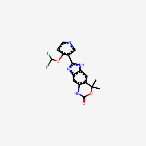 CC1(C)OC(=O)Nc2cc3nc(-c4cnccc4OC(F)F)[nH]c3cc21